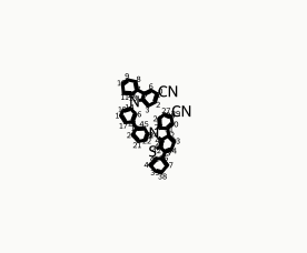 N#Cc1ccc2c(c1)c1ccccc1n2-c1cccc(-c2cccc(-n3c4ccc(C#N)cc4c4ccc5c6ccccc6sc5c43)c2)c1